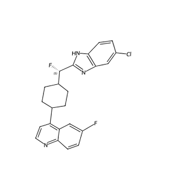 Fc1ccc2nccc(C3CCC([C@H](F)c4nc5cc(Cl)ccc5[nH]4)CC3)c2c1